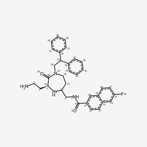 NCC[C@@H]1NC(CNC(=O)c2ccc3cc(F)ccc3c2)CCN(CC(c2ccccc2)c2ccccc2)C1=O